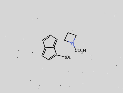 CC(C)(C)C1=CC=C2C=CC=C21.O=C(O)N1CCC1